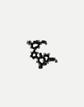 Cc1cc(-c2cccc(C3CC(=O)Nc4cc(N)ccc4N3)c2)cc(C)n1